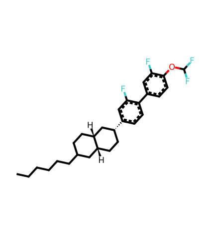 CCCCCCC1CC[C@@H]2C[C@H](c3ccc(-c4ccc(OC(F)F)c(F)c4)c(F)c3)CC[C@@H]2C1